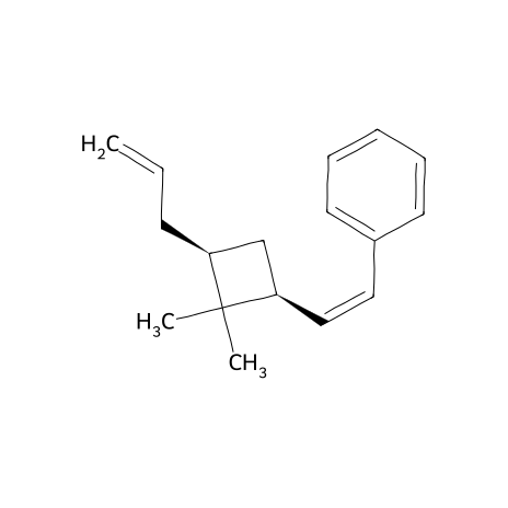 C=CC[C@H]1C[C@@H](/C=C\c2ccccc2)C1(C)C